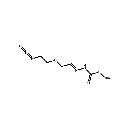 CC(C)(C)OC(=O)N/N=C/COCCN=[N+]=[N-]